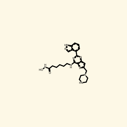 O=C(CCCCCNc1nc(-c2cccc3[nH]ncc23)nc2cc(CN3CCNCC3)sc12)NO